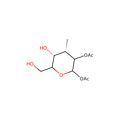 CC(=O)OC1OC(CO)[C@H](O)[C@H](C)C1OC(C)=O